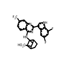 O=C(O)C1C2CCC(CC2)C1Nc1nc(-c2c[nH]c3c(F)cc(F)cc23)nc2cc(C(F)(F)F)ccc12